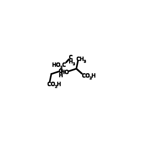 CC(=O)O.CC(O)C(=O)O.O=C(O)CO